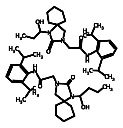 CCC(O)N1C(=O)N(CC(=O)Nc2c(C(C)C)cccc2C(C)C)CC12CCCCC2.CCCC(O)N1C(=O)N(CC(=O)Nc2c(C(C)C)cccc2C(C)C)CC12CCCCC2